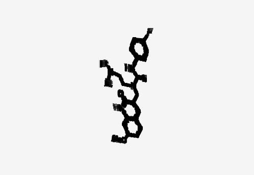 CCN(CC)CCN(Cc1cc2ccc(OC)cc2[nH]c1=O)C(=S)Nc1ccc(F)cc1